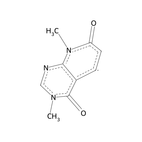 Cn1cnc2c([c]cc(=O)n2C)c1=O